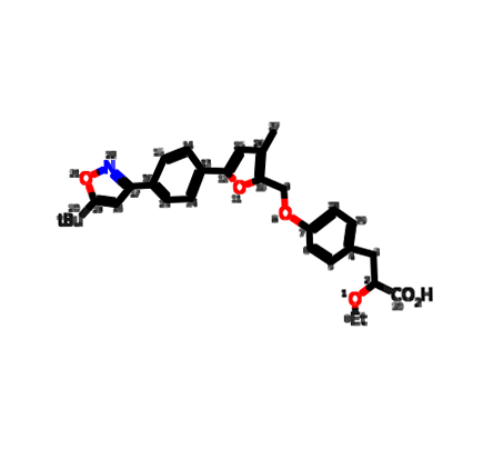 CCOC(Cc1ccc(OCc2oc(-c3ccc(-c4cc(C(C)(C)C)on4)cc3)cc2C)cc1)C(=O)O